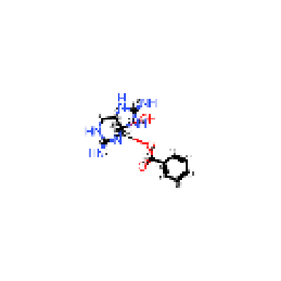 N=C1NC2CNC(=N)N3C[C@H](OC(=O)c4ccccc4)[C@@H](O)C23N1